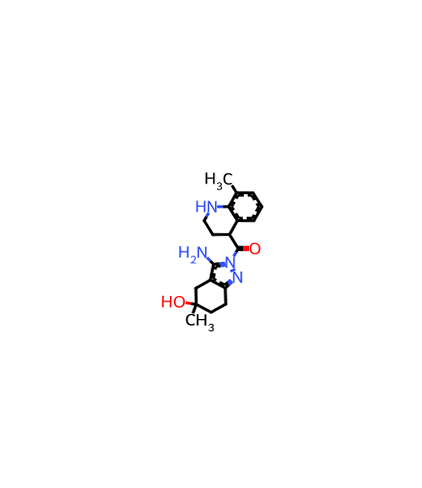 Cc1cccc2c1NCCC2C(=O)n1nc2c(c1N)CC(C)(O)CC2